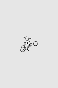 C=C(OCOC1CCCCC1)C12CC3CC(CC(OC(=O)C(C)(CC(C)C)C(C)C)(C3)C1)C2